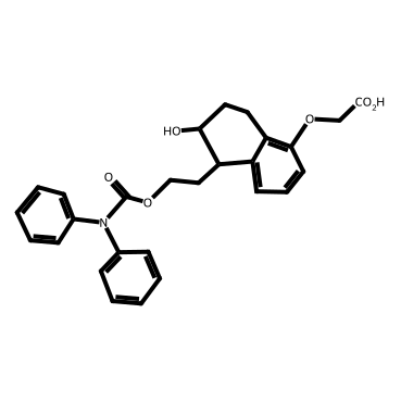 O=C(O)COc1cccc2c1CCC(O)C2CCOC(=O)N(c1ccccc1)c1ccccc1